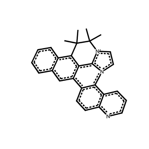 CC1(C)c2c3ccccc3cc3c4ccc5ncccc5c4n4cc[n+](c4c23)C1(C)C